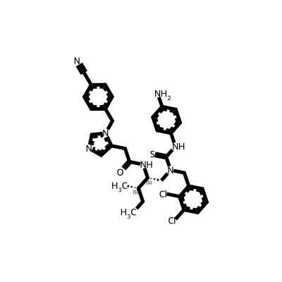 CC[C@H](C)[C@@H](CN(Cc1cccc(Cl)c1Cl)C(=S)Nc1ccc(N)cc1)NC(=O)Cc1cncn1Cc1ccc(C#N)cc1